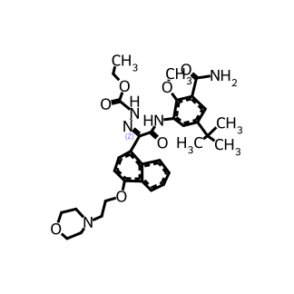 CCOC(=O)N/N=C(\C(=O)Nc1cc(C(C)(C)C)cc(C(N)=O)c1OC)c1ccc(OCCN2CCOCC2)c2ccccc12